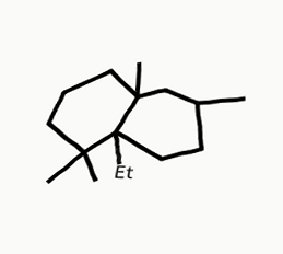 CCC12CCC(C)CC1(C)CCCC2(C)C